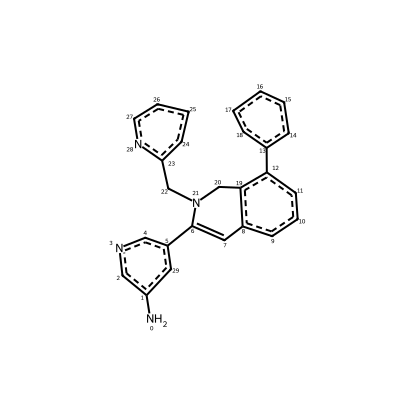 Nc1cncc(C2=Cc3cccc(-c4ccccc4)c3CN2Cc2ccccn2)c1